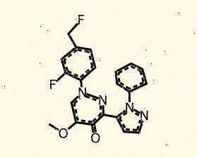 COc1cn(-c2ccc(CF)cc2F)nc(-c2ccnn2-c2ccccc2)c1=O